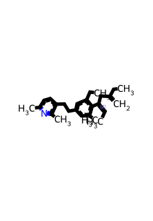 C=C(CC)C/C(=C/C)c1c(C)cc(CCc2ccc(C)nc2C)cc1CC